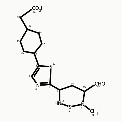 CN1SNC(c2ncc(C3CCC(CC(=O)O)CC3)s2)CC1C=O